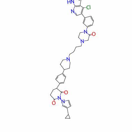 O=C1CN(CCCCN2CCC(c3ccc(C4CCC(=O)N(n5ccc(C6CC6)c5)C4=O)cc3)CC2)CCN1c1cccc(-c2cnc3[nH]cc(C4CC4)c3c2Cl)c1